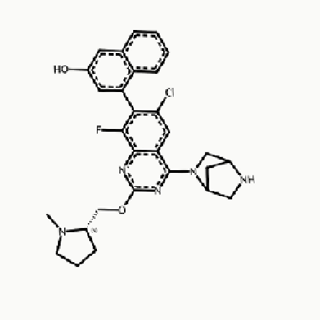 CN1CCC[C@H]1COc1nc(N2CC3CC2CN3)c2cc(Cl)c(-c3cc(O)cc4ccccc34)c(F)c2n1